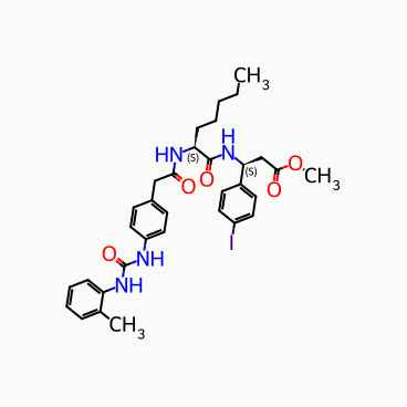 CCCCC[C@H](NC(=O)Cc1ccc(NC(=O)Nc2ccccc2C)cc1)C(=O)N[C@@H](CC(=O)OC)c1ccc(I)cc1